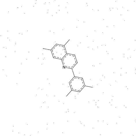 Cc1cc(C)cc(-c2ccc3c(C)cc(C)cc3n2)c1